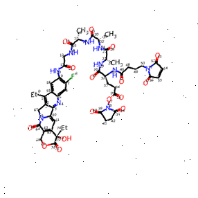 CCc1c2c(nc3cc(F)c(NC(=O)CNC(=O)[C@H](C)NC(=O)[C@H](C)NC(=O)[C@H](C)NC(=O)[C@H](CCC(=O)ON4C(=O)CCC4=O)NC(=O)CCCN4C(=O)C=CC4=O)cc13)-c1cc3c(c(=O)n1C2)COC(=O)[C@]3(O)CC